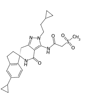 CS(=O)(=O)CC(=O)Nc1c2c(nn1CCC1CC1)C[C@]1(CCc3cc(C4CC4)ccc31)NC2=O